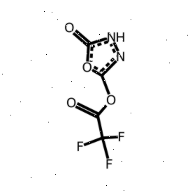 O=C(Oc1n[nH]c(=O)o1)C(F)(F)F